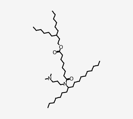 CCCCCCCCCCC(CCCCCCC)N(CCCN(C)C)C(=O)CCCCCCC(=O)OCCC(CCCCCC)CCCCCC